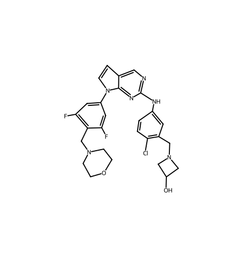 OC1CN(Cc2cc(Nc3ncc4ccn(-c5cc(F)c(CN6CCOCC6)c(F)c5)c4n3)ccc2Cl)C1